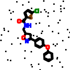 O=C(NCC1CC(c2ccc(Oc3ccccc3)cc2)=NO1)c1ccc(Cl)s1